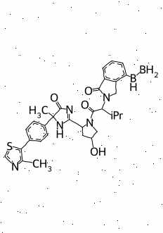 BBc1cccc2c1CN(C(C(=O)N1CC(O)CC1C1=NC(=O)C(C)(c3ccc(-c4scnc4C)cc3)N1)C(C)C)C2=O